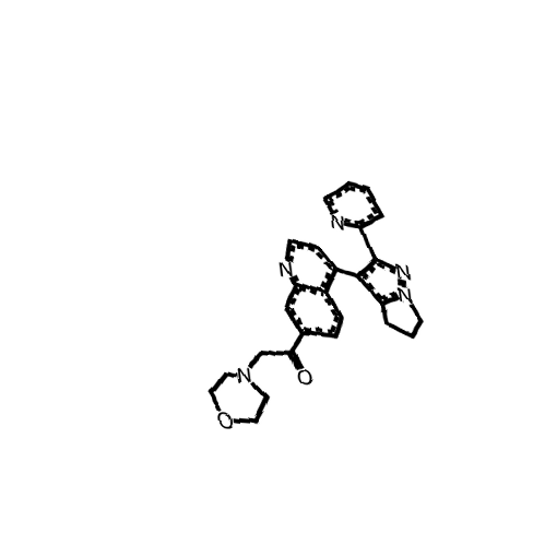 O=C(CN1CCOCC1)c1ccc2c(-c3c(-c4ccccn4)nn4c3CCC4)ccnc2c1